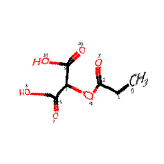 CCC(=O)OC(C(=O)O)C(=O)O